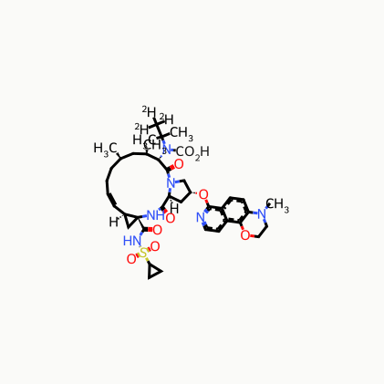 [2H]C([2H])([2H])C(C)(C)N(C(=O)O)[C@@H]1C(=O)N2C[C@H](Oc3nccc4c5c(ccc34)N(C)CCO5)C[C@H]2C(=O)N[C@]2(C(=O)NS(=O)(=O)C3CC3)C[C@H]2/C=C\CC[C@@H](C)C[C@H]1C